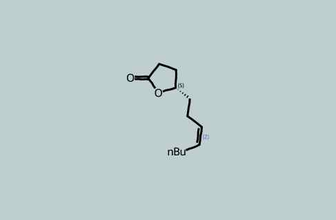 CCCC/C=C\CC[C@H]1CCC(=O)O1